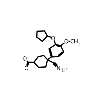 COc1ccc(C2(C#N)CCC(C(=O)[O-])CC2)cc1OC1CCCC1.[Li+]